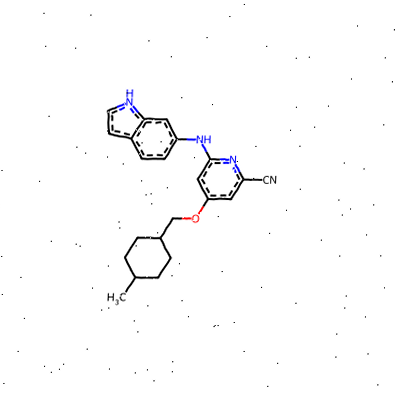 CC1CCC(COc2cc(C#N)nc(Nc3ccc4cc[nH]c4c3)c2)CC1